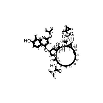 Cc1c(O)ccc2c(O[C@@H]3C[C@H]4C(=O)N[C@]5(C(=O)NS(=O)(=O)C6(C)CC6)C[C@H]5/C=C\CCCCC[C@H](NC(=O)N(C)C)C(=O)N4C3)cc(OC(C)C)nc12